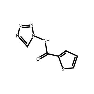 O=C(Nn1cnnn1)c1cccs1